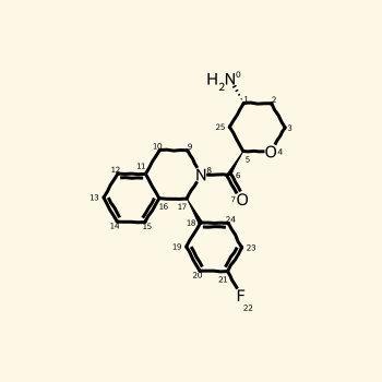 N[C@@H]1CCO[C@@H](C(=O)N2CCc3ccccc3[C@@H]2c2ccc(F)cc2)C1